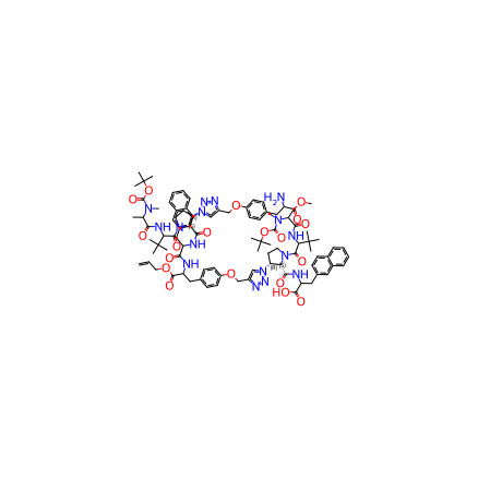 C=CCOC(=O)C(Cc1ccc(OCc2cn([C@@H]3CCN(C(=O)C(NC(=O)C(C)N(C)C(=O)OC(C)(C)C)C(C)(C)C)[C@@H]3C(=O)NC(Cc3ccc4ccccc4c3)C(=O)O)nn2)cc1)NC(=O)C(Cc1ccc2ccccc2c1)NC(=O)[C@@H]1[C@H](n2cc(COc3ccc(CC(N)C(=O)OC)cc3)nn2)CCN1C(=O)C(NC(=O)C(C)N(C)C(=O)OC(C)(C)C)C(C)(C)C